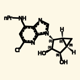 CCCNc1cc(Cl)nc2c1ncn2[C@H]1[C@H](O)[C@H](O)[C@@H]2C[C@@H]21